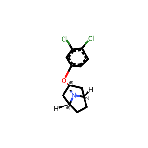 CN1[C@@H]2CC[C@H]1C[C@@H](Oc1ccc(Cl)c(Cl)c1)C2